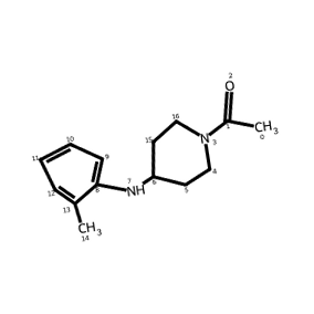 CC(=O)N1CCC(Nc2ccccc2C)CC1